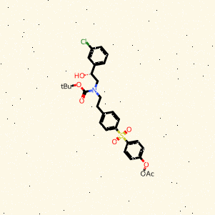 CC(=O)OOc1ccc(S(=O)(=O)c2ccc(CCN(C[C@H](O)c3cccc(Cl)c3)C(=O)OC(C)(C)C)cc2)cc1